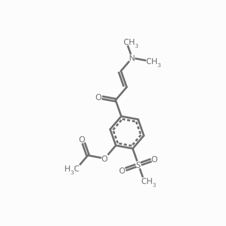 CC(=O)Oc1cc(C(=O)C=CN(C)C)ccc1S(C)(=O)=O